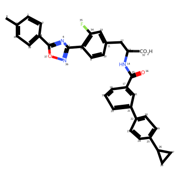 Cc1ccc(-c2nc(-c3ccc(CC(NC(=O)c4cccc(-c5ccc(C6CC6)cc5)c4)C(=O)O)cc3F)no2)cc1